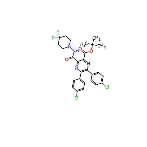 CC(C)(C)OC(=O)c1nc(-c2ccc(Cl)cc2)c(-c2ccc(Cl)cc2)nc1C(=O)NN1CCC(F)(F)CC1